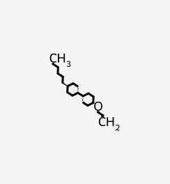 C=CCO[C@H]1CC[C@H]([C@H]2CC[C@H](CCCCCC)CC2)CC1